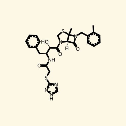 Cc1ccccc1CN1C(=O)[C@H]2N(C(=O)[C@@H](O)[C@H](Cc3ccccc3)NC(=O)CSc3nc[nH]n3)CSC21C